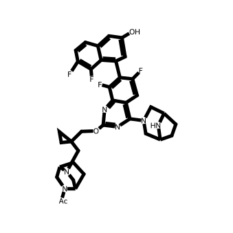 CC(=O)N1CC2CCC1CN2CC1(COc2nc(N3CC4CCC(C3)N4)c3cc(F)c(-c4cc(O)cc5ccc(F)c(F)c45)c(F)c3n2)CC1